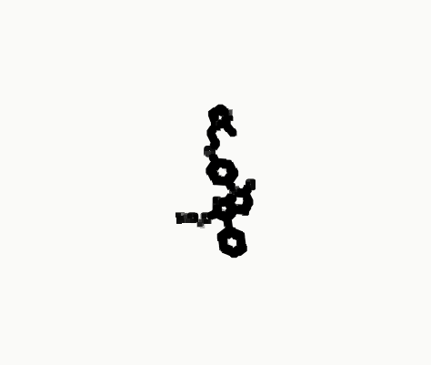 CCOC(=O)c1sc2c(ccc(=O)n2-c2ccc(OCCn3ccnc3C)cc2)c1-c1ccccc1